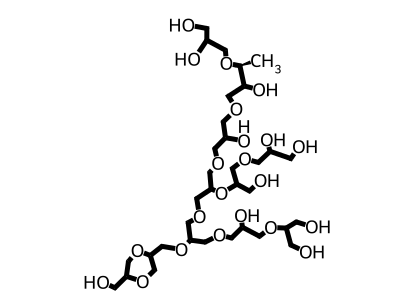 C[C@H](OCC(O)CO)C(O)COCC(O)COCC(COCC(COCC(O)COC(CO)CO)OCC1COC(CO)CO1)OC(CO)COCC(O)CO